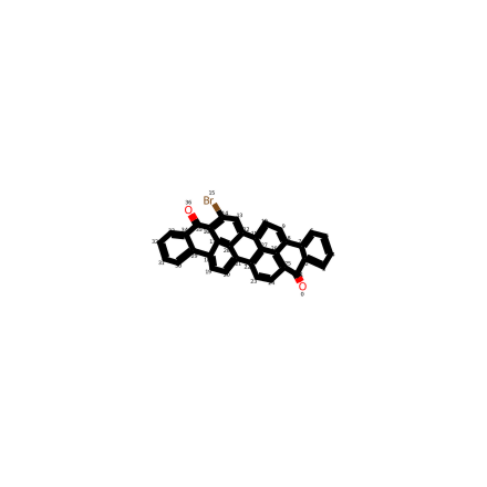 O=C1c2ccccc2-c2ccc3c4cc(Br)c5c6c(ccc(c7ccc1c2c73)c64)-c1ccccc1C5=O